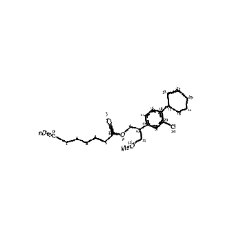 CCCCCCCCCCCCCCCC(=O)OCC(COC)c1ccc(C2CCCCC2)c(Cl)c1